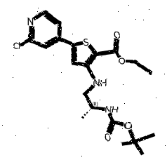 CCOC(=O)c1sc(-c2ccnc(Cl)c2)cc1NC[C@@H](C)NC(=O)OC(C)(C)C